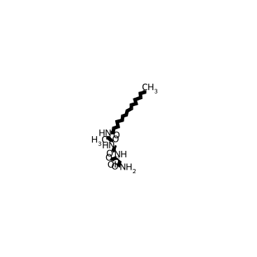 CCCCCCCCCCCCCCCC(=O)N[C@@H](C)C(=O)NCC(=O)N[C@@H](CC(N)=O)C(=O)O